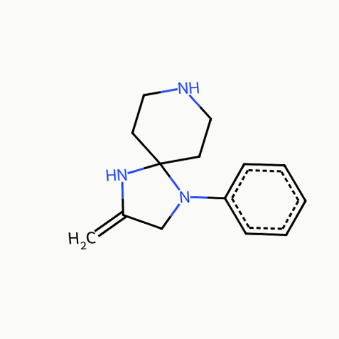 C=C1CN(c2ccccc2)C2(CCNCC2)N1